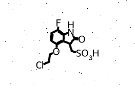 O=C1Nc2c(F)ccc(OCCCl)c2C1CS(=O)(=O)O